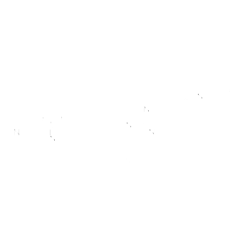 N#CCN(Cc1cccc(-c2csc3cnc(Nc4ccc(N5CCOCC5)cc4)nc23)c1)[SH](=O)=O